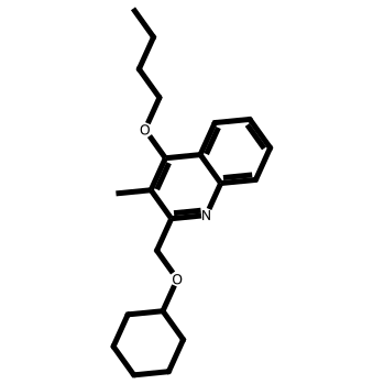 CCCCOc1c(C)c(COC2CCCCC2)nc2ccccc12